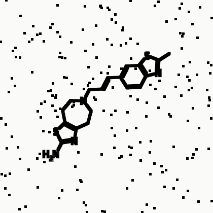 Cc1nc2ccc(/C=C/CN3CCc4nc(N)sc4CC3)cc2s1